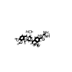 COc1ccc(CN2CCN(C(C)c3ccc(C(=O)NC(=N)N)cc3[N+](=O)[O-])CC2)c(OC)c1OC.Cl